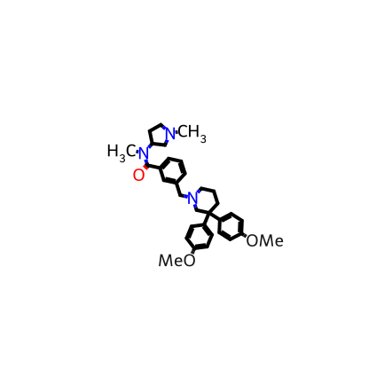 COc1ccc(C2(c3ccc(OC)cc3)CCCN(Cc3cccc(C(=O)N(C)C4CCN(C)C4)c3)C2)cc1